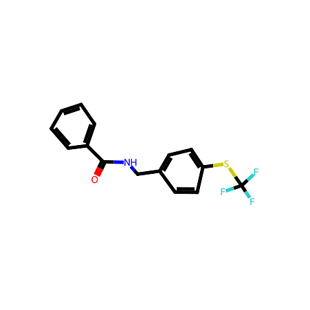 O=C(NCc1ccc(SC(F)(F)F)cc1)c1ccccc1